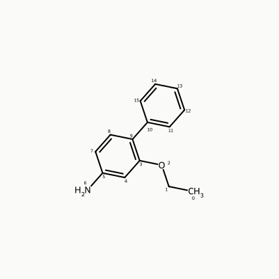 CCOc1cc(N)ccc1-c1ccccc1